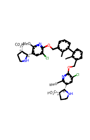 COc1nc(OCc2cccc(-c3cccc(COc4nc(OC)c([C@@H]5NCC[C@@H]5C(=O)O)cc4Cl)c3C)c2C)c(Cl)cc1[C@@H]1NCC[C@@H]1C(=O)O